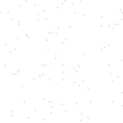 CN1CCN(c2cc(Nc3cnc4[nH]cc(-c5ccn6nccc6c5)c4c3)ccn2)CC1